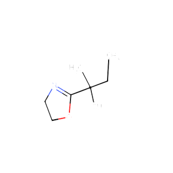 CCC(C)(C)C1=NCCO1